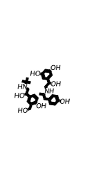 CC(C)(C)NCC(O)c1ccc(O)c(CO)c1.CC(Cc1ccc(O)cc1)NCC(O)c1cc(O)cc(O)c1